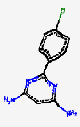 Nc1cc(N)nc(-c2ccc(Cl)cc2)n1